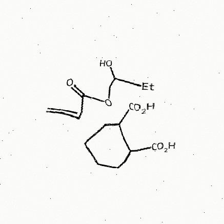 C=CC(=O)OC(O)CC.O=C(O)C1CCCCC1C(=O)O